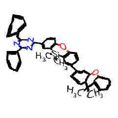 CC1(C)c2ccccc2Oc2cc(-c3ccc4c(c3)[Si](C)(C)c3cc(-c5nc(-c6ccccc6)nc(-c6ccccc6)n5)ccc3O4)ccc21